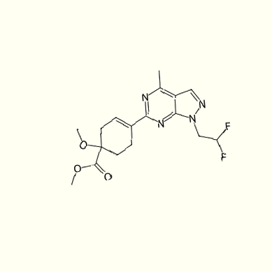 COC(=O)C1(OC)CC=C(c2nc(C)c3cnn(CC(F)F)c3n2)CC1